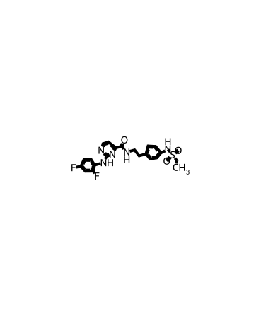 CCS(=O)(=O)Nc1ccc(CCNC(=O)c2ccnc(Nc3ccc(F)cc3F)n2)cc1